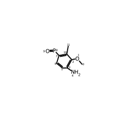 COc1c(N)ccc(P=O)c1C